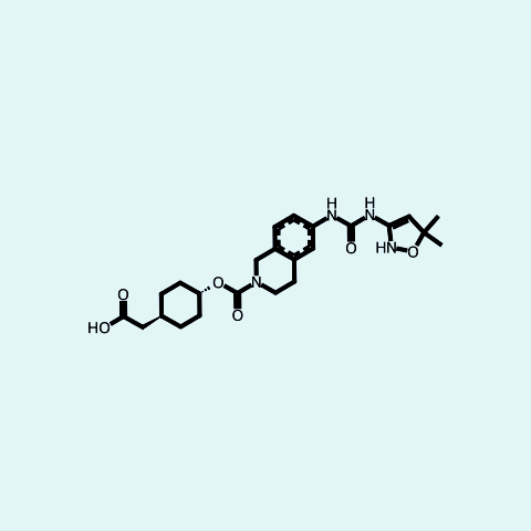 CC1(C)C=C(NC(=O)Nc2ccc3c(c2)CCN(C(=O)O[C@H]2CC[C@H](CC(=O)O)CC2)C3)NO1